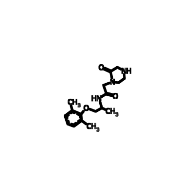 Cc1cccc(C)c1OCC(C)NC(=O)CN1CCNCC1=O